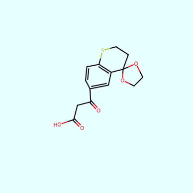 O=C(O)CC(=O)c1ccc2c(c1)C1(CCS2)OCCO1